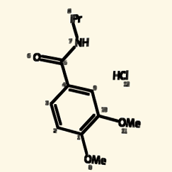 COc1ccc(C(=O)NC(C)C)cc1OC.Cl